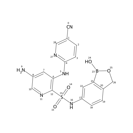 N#Cc1ccc(Nc2cc(N)cnc2S(=O)(=O)Nc2ccc3c(c2)B(O)OC3)nc1